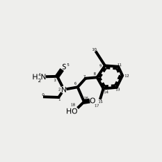 CCN(C(N)=S)C(Cc1c(C)cccc1C)C(=O)O